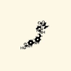 CC(C)[C@H]1COC(=O)N1c1ccnc(NCCc2ccc(Nc3cccc(NC(=O)O)c3)cc2)n1